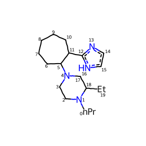 CCCN1CCN(C2CCCCCC2c2ncc[nH]2)CC1CC